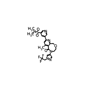 Cc1cc(-c2cncc(S(=O)(=O)N(C)C)c2)nc2c1C(=O)N(c1cnn(CC(F)(F)F)c1)CCOC2